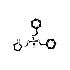 O=P(OCc1ccccc1)(OCc1ccccc1)OC[C@@H]1CCCN1